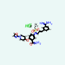 CS(=O)(=O)N(C/C=C/c1cccc(C(=N)N)c1)c1ccc(OC2CCN(C3=NCCO3)CC2)c(C(N)=O)c1.Cl.Cl